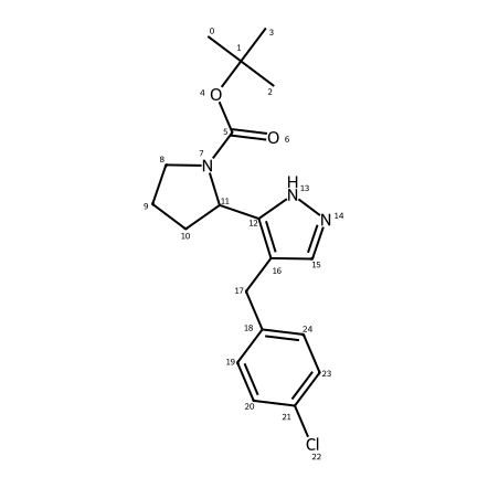 CC(C)(C)OC(=O)N1CCCC1c1[nH]ncc1Cc1ccc(Cl)cc1